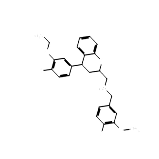 CCOc1cc(C2CC(CNCc3ccc(F)c(OC)c3)Oc3ccccc32)ccc1F